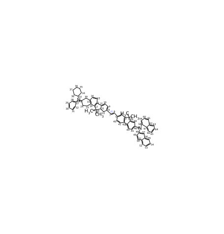 CC1(C)c2cc(/C=C/C3=CC=C4c5ccc6c(c5C(C)(C)C4C3)CCC(N(c3ccccc3)C3CCCCC3)C6)ccc2-c2ccc(N(c3ccc4ccccc4c3)c3cccc4ccccc34)cc21